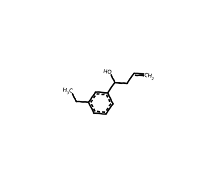 C=CCC(O)c1cccc(CC)c1